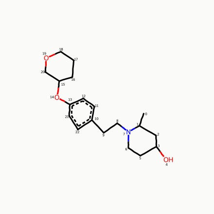 CC1CC(O)CCN1CCc1ccc(OC2CCCOC2)cc1